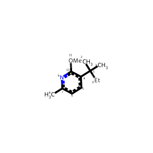 CCC(C)(C)c1ccc(C)nc1OC